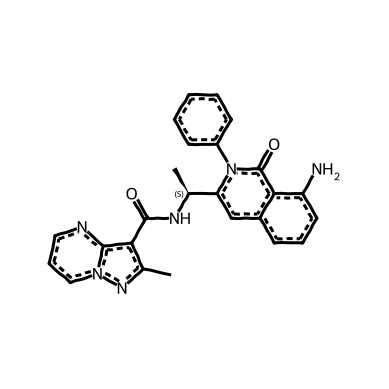 Cc1nn2cccnc2c1C(=O)N[C@@H](C)c1cc2cccc(N)c2c(=O)n1-c1ccccc1